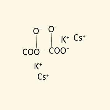 O=C([O-])[O-].O=C([O-])[O-].[Cs+].[Cs+].[K+].[K+]